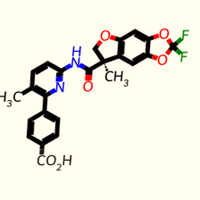 Cc1ccc(NC(=O)[C@@]2(C)COc3cc4c(cc32)OC(F)(F)O4)nc1-c1ccc(C(=O)O)cc1